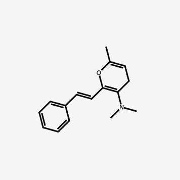 CC1=CCC(N(C)C)=C(C=Cc2ccccc2)O1